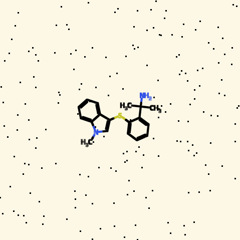 Cn1cc(Sc2ccccc2C(C)(C)N)c2ccccc21